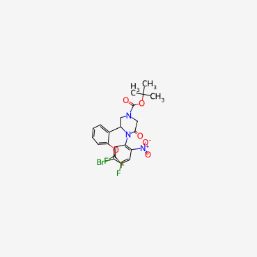 CC(C)(C)OC(=O)N1CC(=O)N(c2cc(Br)c(F)cc2[N+](=O)[O-])C(c2ccccc2OC(F)F)C1